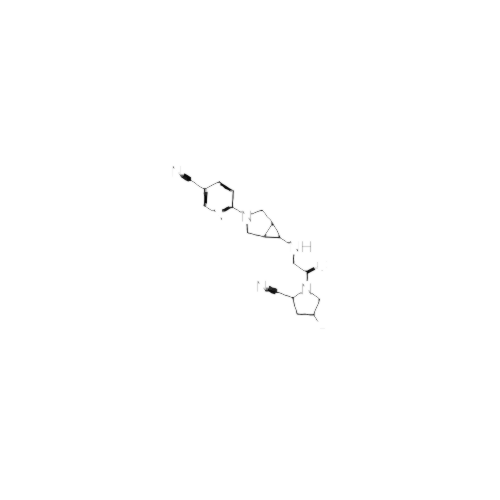 N#Cc1ccc(N2CC3C(C2)C3NCC(=O)N2CC(F)CC2C#N)nc1